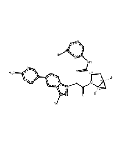 CC(=O)c1nn(CC(=O)N2[C@@H]3C[C@@H]3C[C@H]2C(=O)Nc2cncc(Br)n2)c2ccc(-c3cnc(C)nc3)cc12